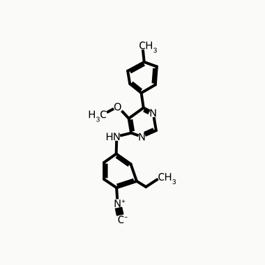 [C-]#[N+]c1ccc(Nc2ncnc(-c3ccc(C)cc3)c2OC)cc1CC